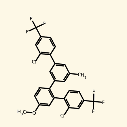 COc1c[c]c(-c2cc(C)cc(-c3ccc(C(F)(F)F)cc3Cl)c2)c(-c2ccc(C(F)(F)F)cc2Cl)c1